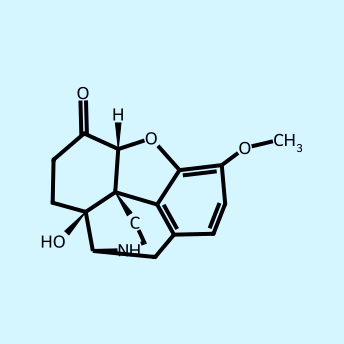 COc1ccc2c3c1O[C@H]1C(=O)CC[C@@]4(O)C(C2)NCC[C@]314